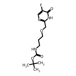 CC(C)(C)OC(=O)NCCCOCc1ncc(F)c(=O)[nH]1